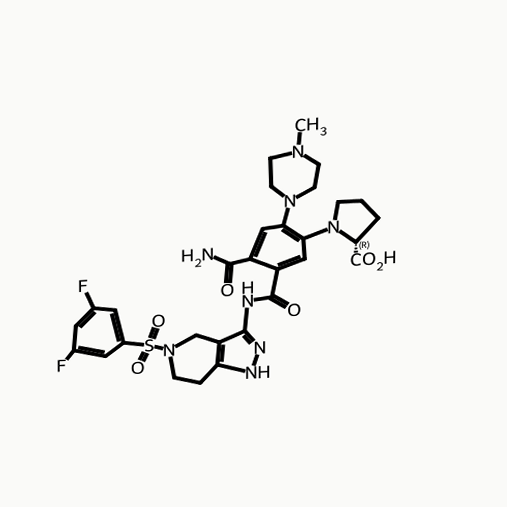 CN1CCN(c2cc(C(N)=O)c(C(=O)Nc3n[nH]c4c3CN(S(=O)(=O)c3cc(F)cc(F)c3)CC4)cc2N2CCC[C@@H]2C(=O)O)CC1